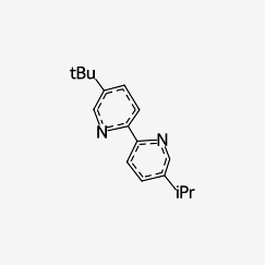 CC(C)c1ccc(-c2ccc(C(C)(C)C)cn2)nc1